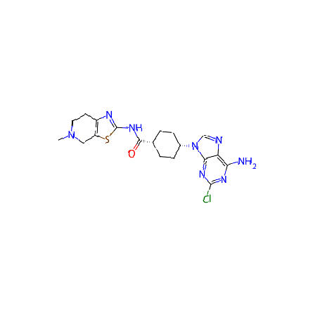 CN1CCc2nc(NC(=O)[C@H]3CC[C@@H](n4cnc5c(N)nc(Cl)nc54)CC3)sc2C1